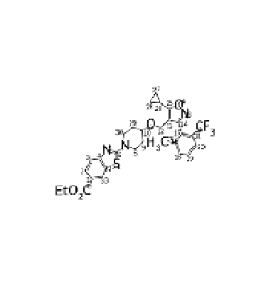 CCOC(=O)c1ccc2nc(N3CCC(OCc4c(-c5c(C)cccc5C(F)(F)F)noc4C4CC4)CC3)sc2c1